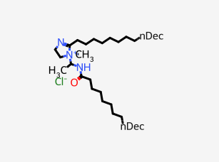 CCCCCCCCCCCCCCCCCCC1=NCC[N+]1(C)C(C)NC(=O)CCCCCCCCCCCCCCCCC.[Cl-]